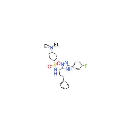 CCN(CC)C1CCC(S(=O)(=O)N[C@H](CCc2ccccc2)c2nnc(-c3ccc(F)cc3)[nH]2)CC1